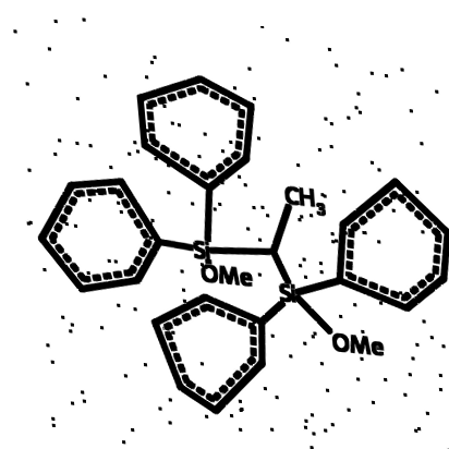 CO[Si](c1ccccc1)(c1ccccc1)C(C)[Si](OC)(c1ccccc1)c1ccccc1